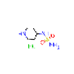 Cl.NS(=O)(=O)NC1CCNCC1